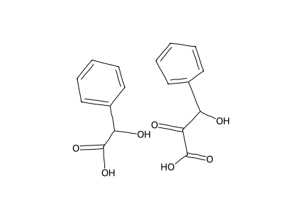 O=C(O)C(=O)C(O)c1ccccc1.O=C(O)C(O)c1ccccc1